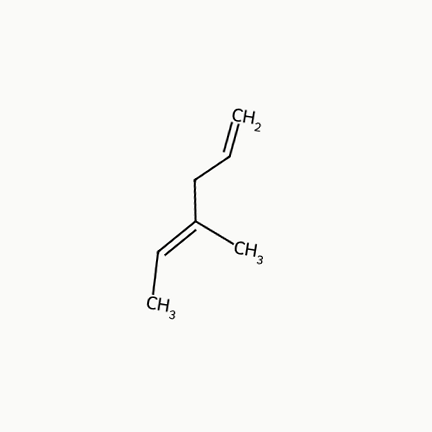 C=CC/C(C)=C/C